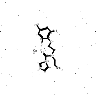 CCCN(CCOc1c(Cl)cc(Cl)cc1Cl)C(=O)n1ccnc1.[Cu]